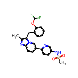 Cc1nc2ccc(-c3ccc(NS(C)(=O)=O)cn3)cn2c1Cc1ccccc1OC(F)F